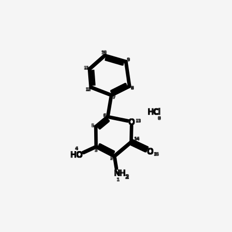 Cl.Nc1c(O)cc(-c2ccccc2)oc1=O